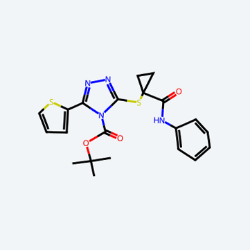 CC(C)(C)OC(=O)n1c(SC2(C(=O)Nc3ccccc3)CC2)nnc1-c1cccs1